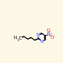 CCCCCc1ncc([N+](=O)[O-])cn1